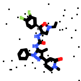 CCN1C[C@@H](NC(=O)Nc2c(C)c(-c3ccn(C)c(=O)c3)nn2-c2ccccc2)[C@H](c2ccc(F)c(F)c2)O1